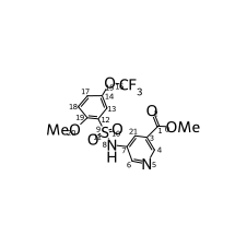 COC(=O)c1cncc(NS(=O)(=O)c2cc(OC(F)(F)F)ccc2OC)c1